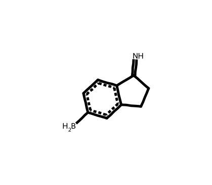 Bc1ccc2c(c1)CCC2=N